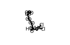 O=C(CCC(=O)OCCOC(=O)CCC(=O)ON1C(=O)CCC1=O)NC(Cc1ccc(N(CCCl)CCCl)cc1)C(=O)O